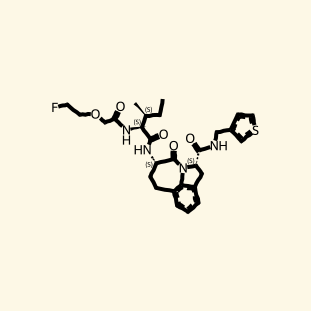 CC[C@H](C)[C@H](NC(=O)COCCF)C(=O)N[C@H]1CCc2cccc3c2N(C1=O)[C@H](C(=O)NCc1ccsc1)C3